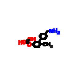 Cc1ccc(OB(O)O)cc1-c1ccc(CN)cc1